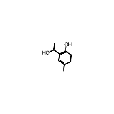 CC1=CC(C(C)O)=C(O)CC1